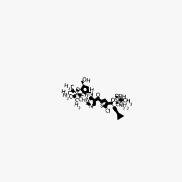 CC(C)[Si](O[C@H]1C[C@H](Nc2ncncc2C(=O)c2cc([C@@H](C#CC3CC3)O[Si](C)(C)C(C)(C)C)c(Cl)s2)C[C@@H]1CO)(C(C)C)C(C)C